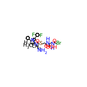 CC(C)(C)[C@H](c1cc(-c2cc(F)ccc2F)cn1Cc1ccccc1)N(CCCN)C(=O)CSCCC(=O)NC(CNC(=O)CBr)C(=O)O